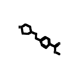 COC(=O)c1ccc(CCC2CCNCC2)cc1